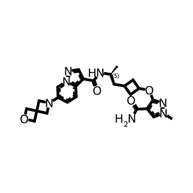 C[C@@H](CC1CC(Oc2nn(C)cc2C(N)=O)C1)NC(=O)c1cnn2cc(N3CC4(COC4)C3)ccc12